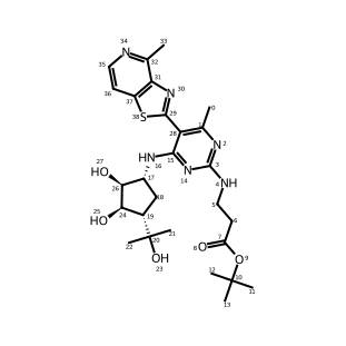 Cc1nc(NCCC(=O)OC(C)(C)C)nc(N[C@@H]2C[C@H](C(C)(C)O)[C@@H](O)[C@H]2O)c1-c1nc2c(C)nccc2s1